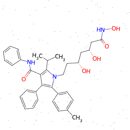 Cc1ccc(-c2c(-c3ccccc3)c(C(=O)Nc3ccccc3)c(C(C)C)n2CC[C@@H](O)C[C@@H](O)CC(=O)NO)cc1